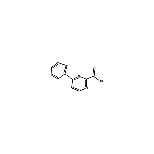 O=C(O)c1nccc(-c2ccccc2)n1